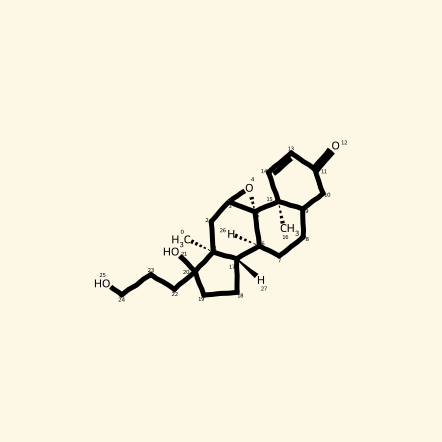 C[C@]12CC3O[C@]34[C@@H](CCC3CC(=O)C=C[C@@]34C)[C@@H]1CCC2(O)CCCO